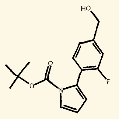 CC(C)(C)OC(=O)n1cccc1-c1ccc(CO)cc1F